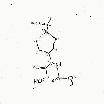 COC(=O)N[C@H](C(=O)CO)C1CCN(C(C)=O)CC1